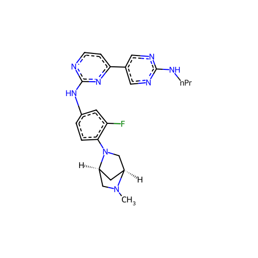 CCCNc1ncc(-c2ccnc(Nc3ccc(N4C[C@@H]5C[C@H]4CN5C)c(F)c3)n2)cn1